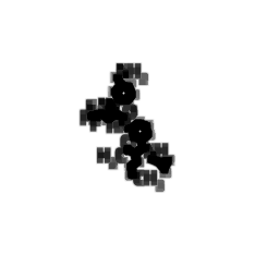 C=C(Cl)/C(=C\C=C/C)C(NCC1CC1)c1cccc(NC(=O)c2cc(C(F)(F)F)nn2-c2cccc(CN)c2)c1